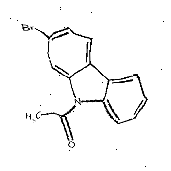 CC(=O)n1c2ccccc2c2ccc(Br)cc21